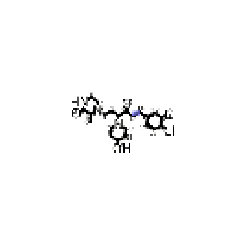 CC1C(=O)NCCN1CCC(C(=O)/C=C/c1ccc(Cl)c(Cl)c1)N1CCC(O)CC1